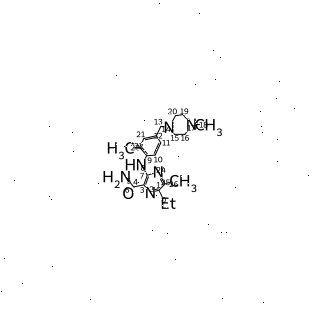 CCc1nc(C(N)=O)c(Nc2ccc(CN3CCN(C)CC3)cc2C)nc1C